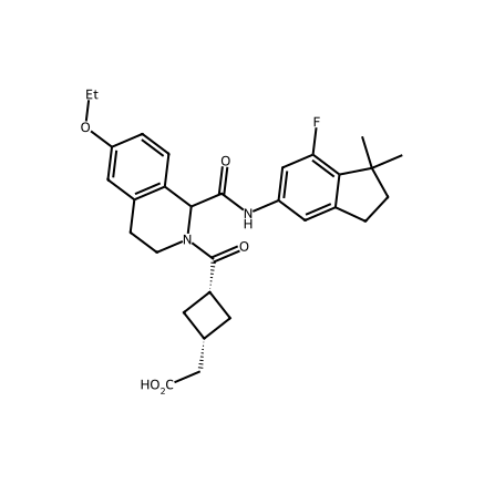 CCOc1ccc2c(c1)CCN(C(=O)[C@H]1C[C@@H](CC(=O)O)C1)C2C(=O)Nc1cc(F)c2c(c1)CCC2(C)C